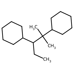 CCC(C1CCCCC1)C(C)(C)[C]1CCCCC1